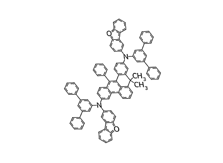 CC1(C)c2cc(N(c3cc(-c4ccccc4)cc(-c4ccccc4)c3)c3ccc4oc5ccccc5c4c3)ccc2-c2c(-c3ccccc3)c3ccc(N(c4cc(-c5ccccc5)cc(-c5ccccc5)c4)c4ccc5oc6ccccc6c5c4)cc3c3cccc1c23